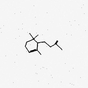 CC(=O)CCC1C(C)=CCCC1(C)C